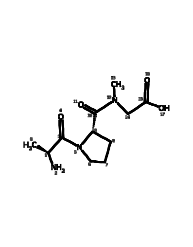 C[C@H](N)C(=O)N1CCC[C@H]1C(=O)N(C)CC(=O)O